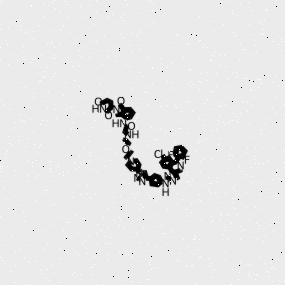 O=C1CCC(N2Cc3c(NC(=O)CNCCOCCN4CCC(n5cc(-c6ccc(Nc7ncc8c(n7)-c7ccc(Cl)cc7C(c7c(F)cccc7F)=NC8)cc6)nn5)CC4)cccc3C2=O)C(=O)N1